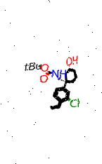 C=Cc1ccc([C@]2(CNC(=O)OC(C)(C)C)CCC[C@@H](O)C2)cc1Cl